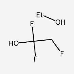 CCO.OC(F)(F)CF